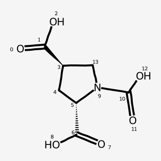 O=C(O)[C@@H]1C[C@@H](C(=O)O)N(C(=O)O)C1